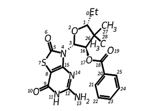 CC[C@H]1O[C@@H](n2c(=O)sc3c(=O)[nH]c(N)nc32)[C@H](OC(=O)c2ccccc2)C1(C)C